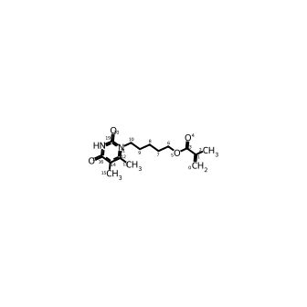 C=C(C)C(=O)OCCCCCn1c(C)c(C)c(=O)[nH]c1=O